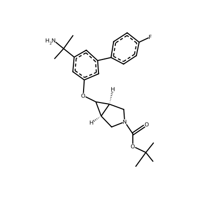 CC(C)(C)OC(=O)N1C[C@@H]2C(Oc3cc(-c4ccc(F)cc4)cc(C(C)(C)N)c3)[C@@H]2C1